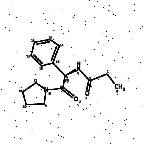 CCC(=O)N[C@@H](C(=O)N1CCCC1)c1ccccc1